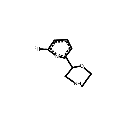 [2H]c1cccc(C2CNCCO2)n1